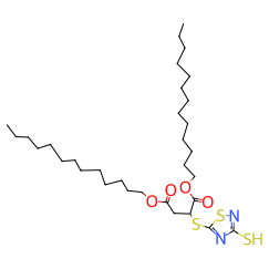 CCCCCCCCCCCCCOC(=O)CC(Sc1nc(S)ns1)C(=O)OCCCCCCCCCCCCC